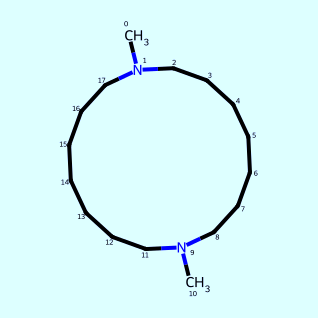 CN1CCCCCCCN(C)CCCCCCC1